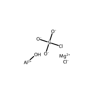 [Cl-].[Mg+2].[O-][Si]([O-])([O-])Cl.[OH][Al+2]